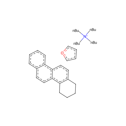 CCCC[N+](CCCC)(CCCC)CCCC.c1ccc2c(c1)ccc1c3c(ccc12)CCCC3.c1ccoc1